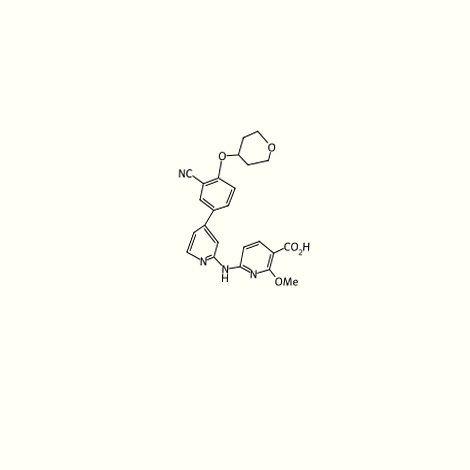 COc1nc(Nc2cc(-c3ccc(OC4CCOCC4)c(C#N)c3)ccn2)ccc1C(=O)O